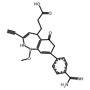 C#CC1=CC(CCC(=O)O)C2=C(C=C(c3ccc(C(=N)N)cc3)CC2=O)N(OC)N1